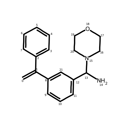 C=C(c1ccccc1)c1cccc(C(N)N2CCOCC2)c1